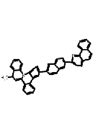 CC1C=C2c3ccccc3-c3cc(-c4ccc5cc(-c6ccc7ccc8ccccc8c7n6)ccc5c4)ccc3N2c2ccccc21